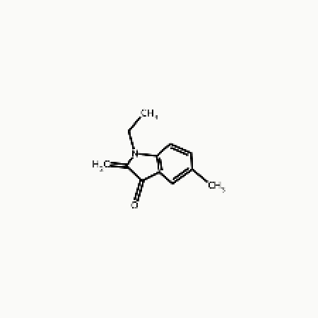 C=C1C(=O)c2cc(C)ccc2N1CC